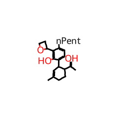 C=C(C)C1CCC(C)=CC1c1c(O)cc(CCCCC)c(C2CCO2)c1O